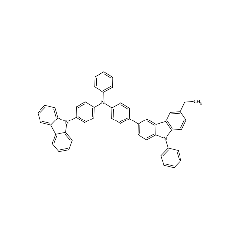 CCc1ccc2c(c1)c1cc(-c3ccc(N(c4ccccc4)c4ccc(-n5c6ccccc6c6ccccc65)cc4)cc3)ccc1n2-c1ccccc1